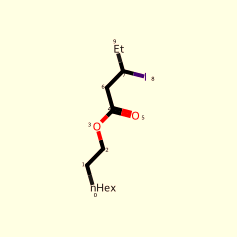 CCCCCCCCOC(=O)CC(I)CC